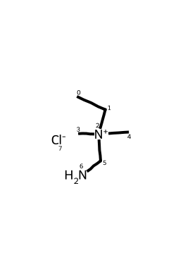 CC[N+](C)(C)CN.[Cl-]